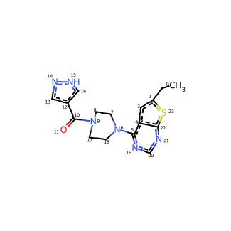 CCc1cc2c(N3CCN(C(=O)c4cn[nH]c4)CC3)ncnc2s1